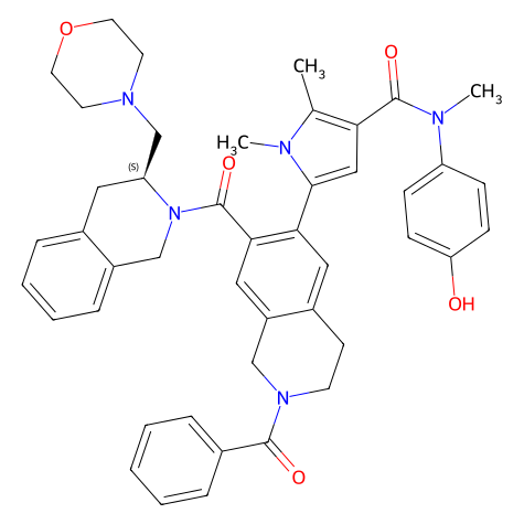 Cc1c(C(=O)N(C)c2ccc(O)cc2)cc(-c2cc3c(cc2C(=O)N2Cc4ccccc4C[C@H]2CN2CCOCC2)CN(C(=O)c2ccccc2)CC3)n1C